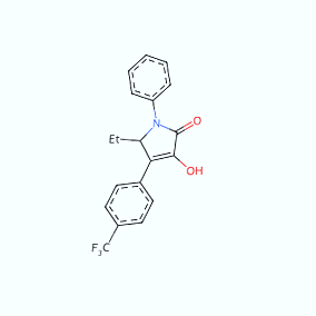 CCC1C(c2ccc(C(F)(F)F)cc2)=C(O)C(=O)N1c1ccccc1